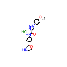 CCOc1ccc(-n2cc(C(=O)Nc3ccc([C@H]4CNCCO4)cc3)nn2)cc1.Cl